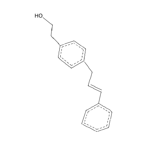 OCCc1ccc(C/C=C/c2ccccc2)cc1